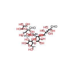 CC(=O)O.O=C[C@H](O)[C@@H](O)[C@H](O)CO.O=C[C@H](O)[C@@H](O)[C@H](O)[C@H](O)CO.OCC(O)CO.OC[C@H]1O[C@@H](O[C@H]2[C@H](O)[C@@H](O)[C@H](O)O[C@@H]2CO)[C@H](O)[C@@H](O)[C@@H]1O